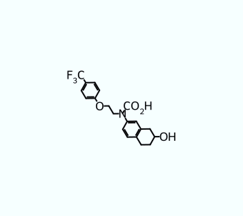 O=C(O)N(CCOc1ccc(C(F)(F)F)cc1)c1ccc2c(c1)CC(O)CC2